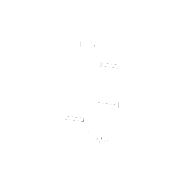 COC(=O)C(I)CC(N)=O